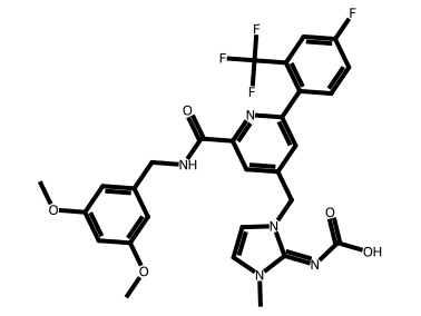 COc1cc(CNC(=O)c2cc(Cn3ccn(C)/c3=N/C(=O)O)cc(-c3ccc(F)cc3C(F)(F)F)n2)cc(OC)c1